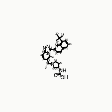 C[C@H](c1ccc2nnc(-c3ccc4cccc(C(C)(C)C)c4n3)n2c1)N1CC[C@H](NC(=O)O)C1